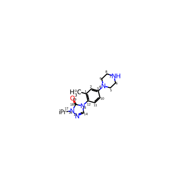 Cc1cc(N2CCNCC2)ccc1-n1cnn(C(C)C)c1=O